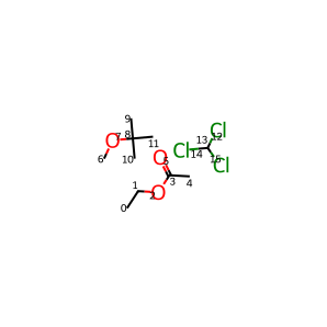 CCOC(C)=O.COC(C)(C)C.ClC(Cl)Cl